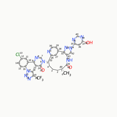 C[C@@H]1CCC[C@H](n2cnc(-c3cc(Cl)ccc3-n3cc(C(F)(F)F)nn3)cc2=O)c2cc(ccn2)-c2nn(-c3cc(O)ncn3)cc2NC1=O